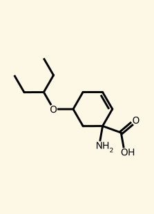 CCC(CC)OC1CC=CC(N)(C(=O)O)C1